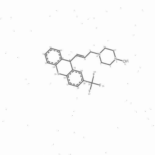 ON1CCN(CC=CC2c3ccccc3Sc3ccc(C(F)(F)F)cc32)CC1